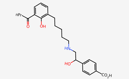 CCCC(=O)c1cccc(CCCCCNCC(O)c2ccc(C(=O)O)cc2)c1O